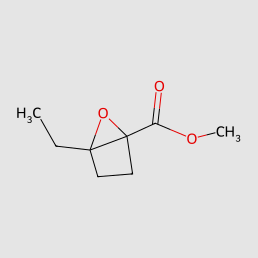 CCC12CCC1(C(=O)OC)O2